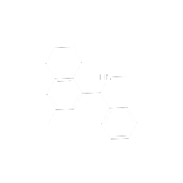 CNC(c1ccccc1)c1cc(C)cc2c1COCC2